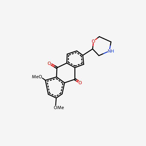 COc1cc(OC)c2c(c1)C(=O)c1cc(C3CNCCO3)ccc1C2=O